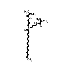 CCCCCCCCCCCCCC(=O)N(CCCNC(=O)[C@H](C)N)CCCNC(=O)[C@H](C)N